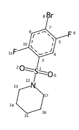 O=S(=O)(c1cc(F)c(Br)cc1F)N1CCCCC1